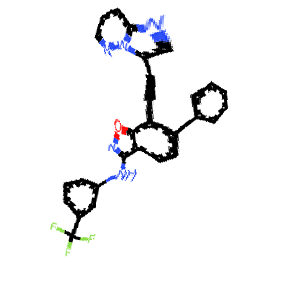 FC(F)(F)c1cccc(Nc2noc3c(C#Cc4cnc5cccnn45)c(-c4ccccc4)ccc23)c1